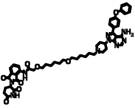 Nc1ncnc2c1c(-c1ccc(Oc3ccccc3)cc1)nn2C1CCN(CCCCCCOCCCCCCOCC(=O)Nc2cccc3c2C(=O)N(C2CCC(=O)NC2=O)C3=O)CC1